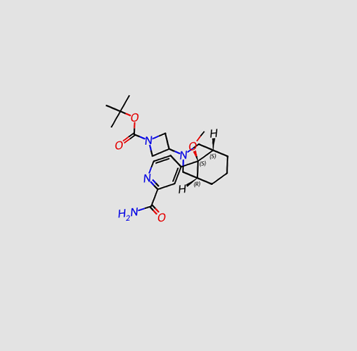 CO[C@]1(c2ccnc(C(N)=O)c2)[C@@H]2CCC[C@H]1CN(C1CN(C(=O)OC(C)(C)C)C1)C2